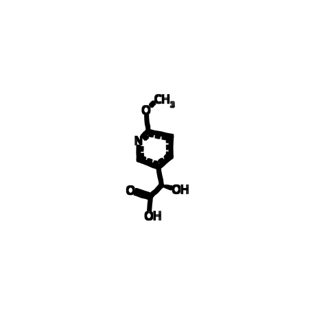 COc1ccc([C@@H](O)C(=O)O)cn1